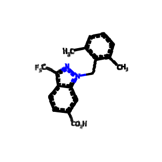 Cc1cccc(C)c1Cn1nc(C(F)(F)F)c2ccc(C(=O)O)cc21